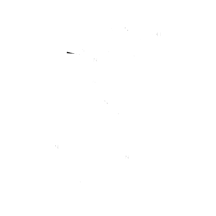 COc1cncc(C2CN(C(=O)[C@@H]3CC[C@@H]4CCC[C@H](NC(=O)O)C(=O)N43)C3(CC3)C2C#N)c1